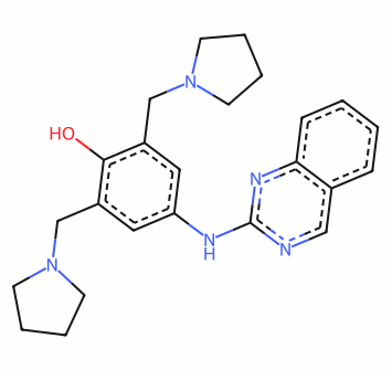 Oc1c(CN2CCCC2)cc(Nc2ncc3ccccc3n2)cc1CN1CCCC1